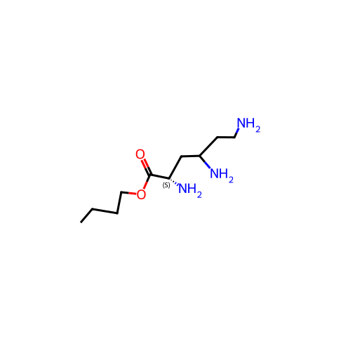 CCCCOC(=O)[C@@H](N)CC(N)CCN